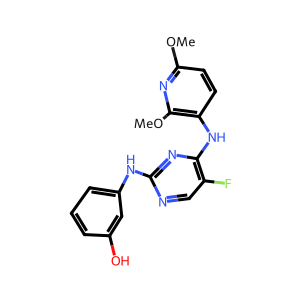 COc1ccc(Nc2nc(Nc3cccc(O)c3)ncc2F)c(OC)n1